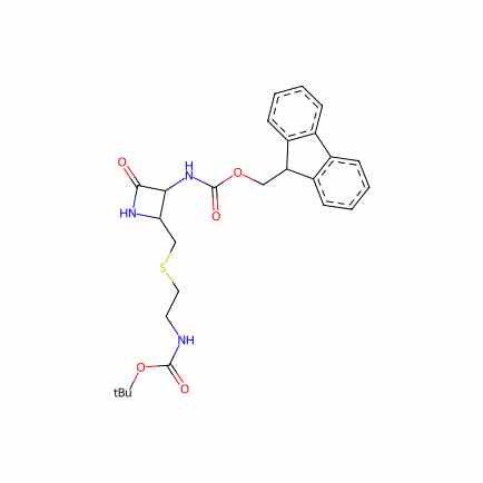 CC(C)(C)OC(=O)NCCSCC1NC(=O)C1NC(=O)OCC1c2ccccc2-c2ccccc21